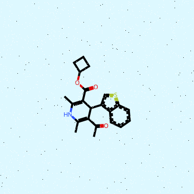 CC(=O)C1=C(C)NC(C)=C(C(=O)OC2CCC2)C1c1csc2ccccc12